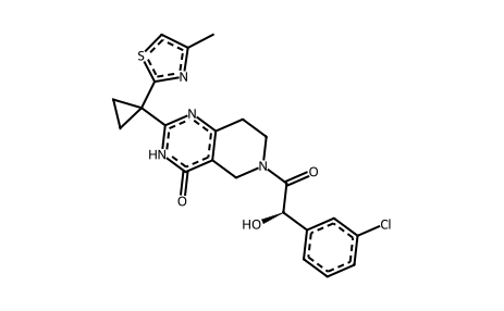 Cc1csc(C2(c3nc4c(c(=O)[nH]3)CN(C(=O)[C@H](O)c3cccc(Cl)c3)CC4)CC2)n1